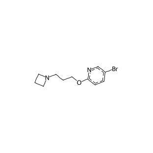 Brc1ccc(OCCCN2CCC2)nc1